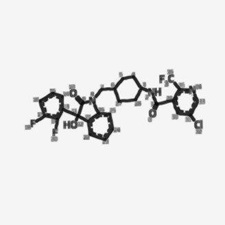 O=C(NC1CCC(CN2C(=O)C(O)(c3cccc(F)c3F)c3ccccc32)CC1)c1cc(Cl)cnc1C(F)(F)F